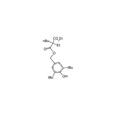 CCCCC(CC)(C(=O)OCC)C(=O)OCc1cc(C(C)(C)C)c(O)c(C(C)(C)C)c1